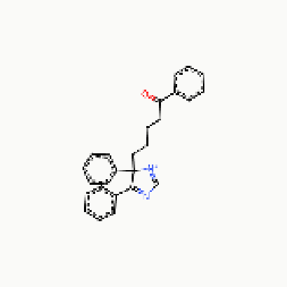 O=C(CCCCC1(c2ccccc2)[N+]=CN=C1c1ccccc1)c1ccccc1